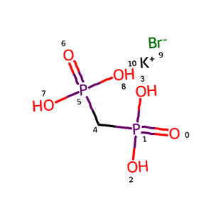 O=P(O)(O)CP(=O)(O)O.[Br-].[K+]